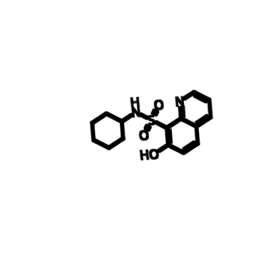 O=S(=O)(NC1CCCCC1)c1c(O)ccc2cccnc12